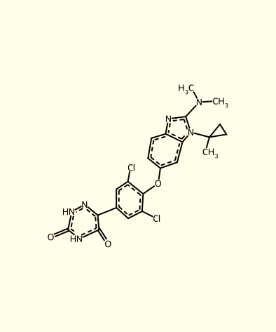 CN(C)c1nc2ccc(Oc3c(Cl)cc(-c4n[nH]c(=O)[nH]c4=O)cc3Cl)cc2n1C1(C)CC1